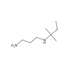 CCC(C)(C)NCCCN